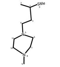 CSC(C)CCN1CCN(C)CC1